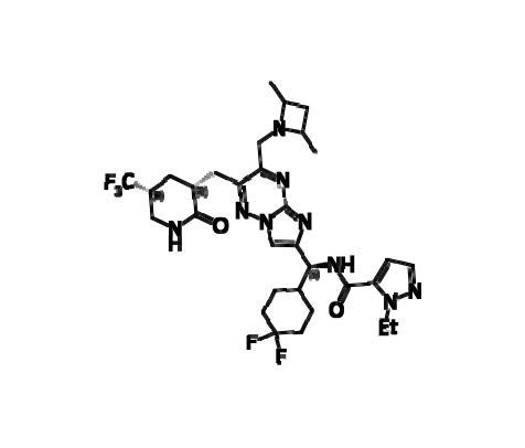 CCn1nccc1C(=O)N[C@H](c1cn2nc(C[C@H]3C[C@@H](C(F)(F)F)CNC3=O)c(CN3C(C)CC3C)nc2n1)C1CCC(F)(F)CC1